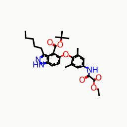 CCCCCc1n[nH]c2ccc(Oc3c(C)cc(NC(=O)C(=O)OCC)cc3C)c(C(=O)OC(C)(C)C)c12